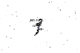 CC#CCC[C@H](O)/C=C/[C@H]1[C@H](O)CC2[C@@H]1CC1CCCC(C(=O)O)N12